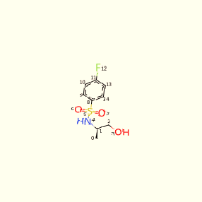 C[C@H](CO)NS(=O)(=O)c1ccc(F)cc1